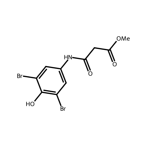 COC(=O)CC(=O)Nc1cc(Br)c(O)c(Br)c1